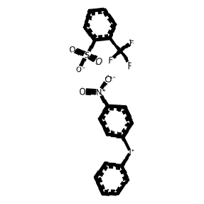 O=S(=O)([O-])c1ccccc1C(F)(F)F.O=[N+]([O-])c1ccc([I+]c2ccccc2)cc1